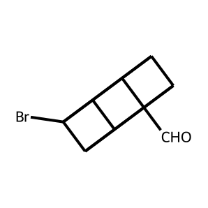 O=CC12C3C4C1C1C2C3C41Br